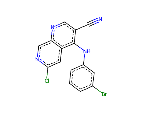 N#Cc1cnc2cnc(Cl)cc2c1Nc1cccc(Br)c1